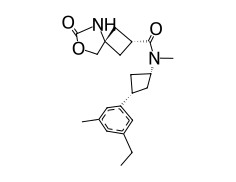 CCc1cc(C)cc([C@H]2C[C@@H](N(C)C(=O)[C@H]3C[C@]4(COC(=O)N4)C3)C2)c1